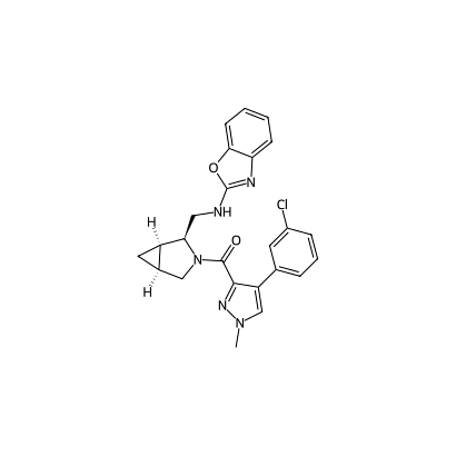 Cn1cc(-c2cccc(Cl)c2)c(C(=O)N2C[C@H]3C[C@H]3[C@H]2CNc2nc3ccccc3o2)n1